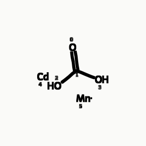 O=C(O)O.[Cd].[Mn]